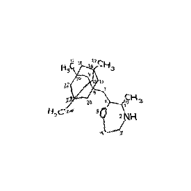 CC1NCCOC1CC12CC3(C)CC(C)(CC(C)(C3)C1)C2